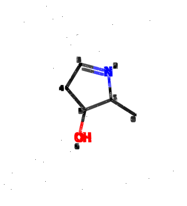 CC1N=CCC1O